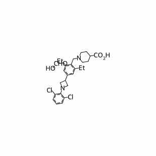 CCc1cc(C2CN(c3c(Cl)cccc3Cl)C2)cc(CC)c1CN1CCC(C(=O)O)CC1.O=CO